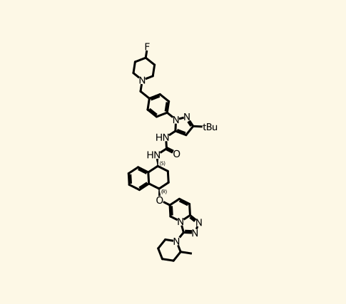 CC1CCCCN1c1nnc2ccc(O[C@@H]3CC[C@H](NC(=O)Nc4cc(C(C)(C)C)nn4-c4ccc(CN5CCC(F)CC5)cc4)c4ccccc43)cn12